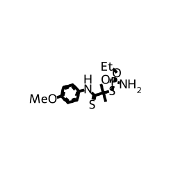 CCOP(N)(=O)SC(C)(C)C(=S)Nc1ccc(OC)cc1